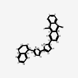 Cc1c2ccccc2c(C)c2cc(-c3ccc(-c4ccc(-c5cccc6ccccc56)s4)s3)ccc12